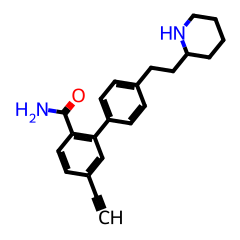 C#Cc1ccc(C(N)=O)c(-c2ccc(CCC3CCCCN3)cc2)c1